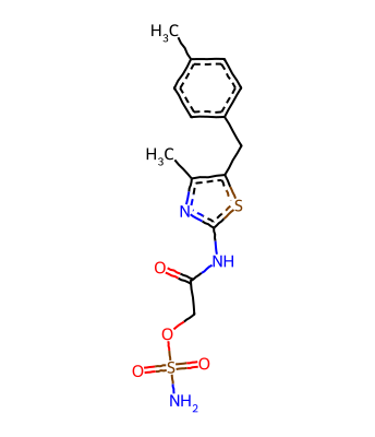 Cc1ccc(Cc2sc(NC(=O)COS(N)(=O)=O)nc2C)cc1